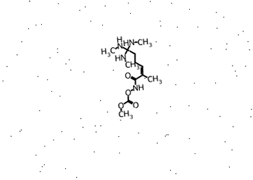 CNC(CCC=C(C)C(=O)NOC(=O)OC)(NC)NC